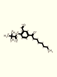 CCCCCCCC(=O)c1ccc(OC(=O)C(C)(C)C)c(C=O)c1